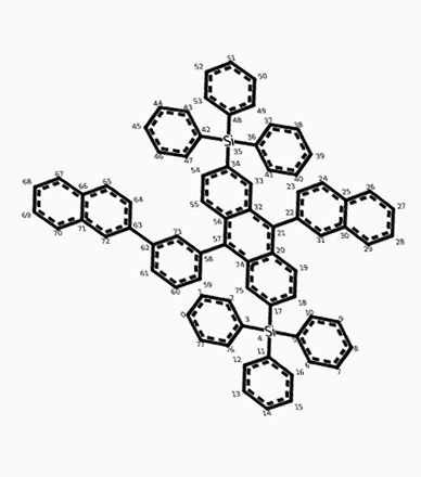 c1ccc([Si](c2ccccc2)(c2ccccc2)c2ccc3c(-c4ccc5ccccc5c4)c4cc([Si](c5ccccc5)(c5ccccc5)c5ccccc5)ccc4c(-c4cccc(-c5ccc6ccccc6c5)c4)c3c2)cc1